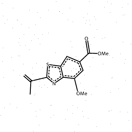 C=C(C)c1nc2c(OC)cc(C(=O)OC)cc2s1